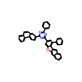 c1ccc(-c2nc(-c3ccc4c(ccc5ccccc54)c3)nc(-c3cc(-c4ccccc4)c4c(c3)oc3cc5ccccc5cc34)n2)cc1